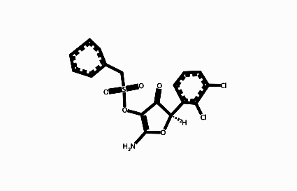 [2H][C@]1(c2cccc(Cl)c2Cl)OC(N)=C(OS(=O)(=O)Cc2ccccc2)C1=O